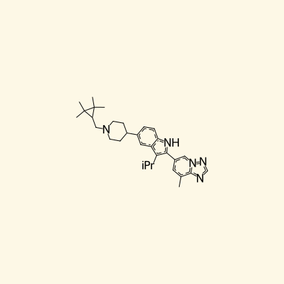 Cc1cc(-c2[nH]c3ccc(C4CCN(CC5C(C)(C)C5(C)C)CC4)cc3c2C(C)C)cn2ncnc12